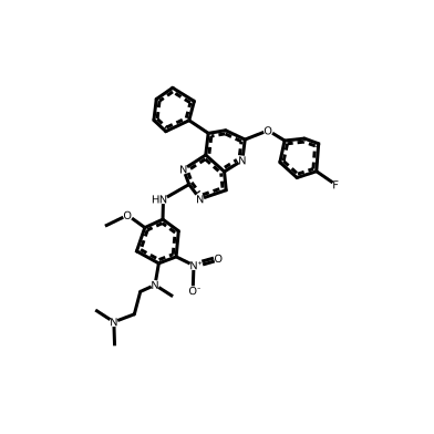 COc1cc(N(C)CCN(C)C)c([N+](=O)[O-])cc1Nc1ncc2nc(Oc3ccc(F)cc3)cc(-c3ccccc3)c2n1